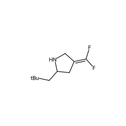 CC(C)(C)CC1CC(=C(F)F)CN1